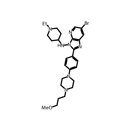 CCN1CCC(Nn2c(-c3ccc(N4CCN(CCCOC)CC4)cc3)nc3cc(Br)cnc32)CC1